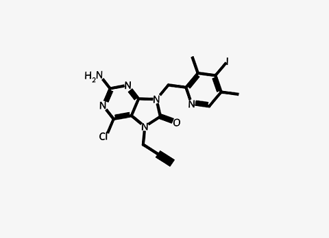 C#CCn1c(=O)n(Cc2ncc(C)c(I)c2C)c2nc(N)nc(Cl)c21